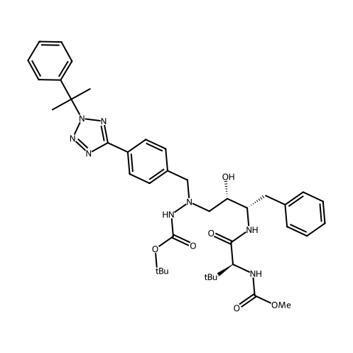 COC(=O)N[C@H](C(=O)N[C@@H](Cc1ccccc1)[C@@H](O)CN(Cc1ccc(-c2nnn(C(C)(C)c3ccccc3)n2)cc1)NC(=O)OC(C)(C)C)C(C)(C)C